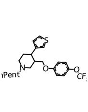 CCCCCN1CCC(c2ccsc2)C(COc2ccc(OC(F)(F)F)cc2)C1